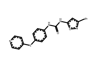 CC(C)c1cc(NC(=O)Nc2ccc(Sc3ccncc3)cc2)on1